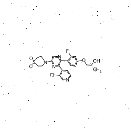 C[C@@H](O)COc1ccc(-c2ncc(N3CCS(=O)(=O)CC3)nc2-c2ccncc2Cl)c(F)c1